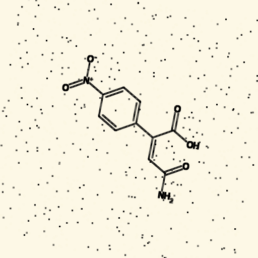 NC(=O)C=C(C(=O)O)c1ccc([N+](=O)[O-])cc1